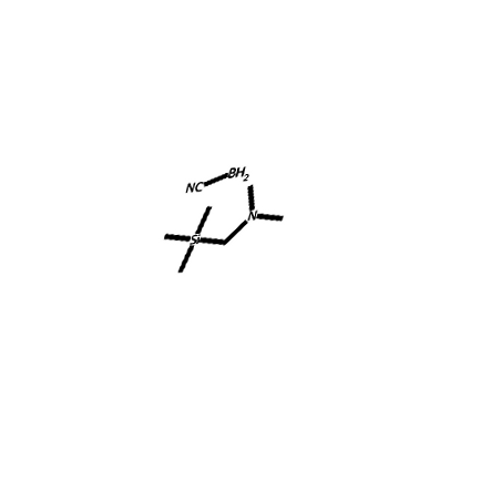 BC#N.CN(C)C[Si](C)(C)C